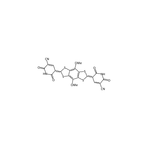 COc1c2c(c(OC)c3c1SC(=C1C=C(C#N)C(=O)NC1=O)S3)SC(=C1C=C(C#N)C(=O)NC1=O)S2